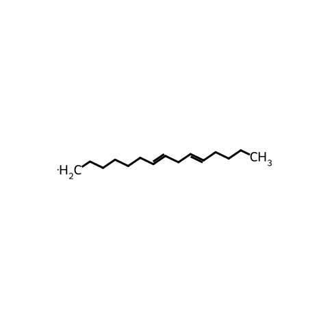 [CH2]CCCCCC=CCC=CCCCC